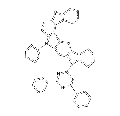 c1ccc(-c2nc(-c3ccccc3)nc(-n3c4ccccc4c4cc5c6c7c(ccc6n(-c6ccccc6)c5cc43)oc3ccccc37)n2)cc1